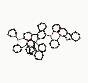 c1ccc(N(c2ccc3c(c2)C(c2ccccc2)(c2ccccc2)c2cc(N(c4ccccc4)c4ccccc4-c4cccc5c4oc4ccccc45)c4ccccc4c2-3)c2ccccc2-c2cccc3c2oc2ccccc23)cc1